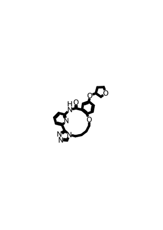 O=C1Nc2cccc(n2)-c2nncn2CCCCOc2ccc(OC3CCOC3)cc21